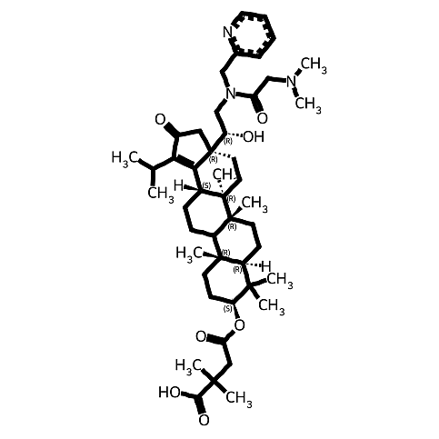 CC(C)C1=C2[C@H]3CCC4[C@@]5(C)CC[C@H](OC(=O)CC(C)(C)C(=O)O)C(C)(C)[C@@H]5CC[C@@]4(C)[C@]3(C)CC[C@@]2([C@@H](O)CN(Cc2ccccn2)C(=O)CN(C)C)CC1=O